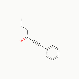 CCCC(=O)C#Cc1ccccc1